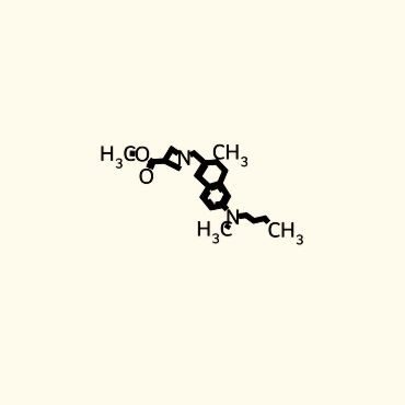 CCCCN(C)c1ccc2c(c1)C[C@@H](C)C(CN1CC(C(=O)OC)C1)=C2